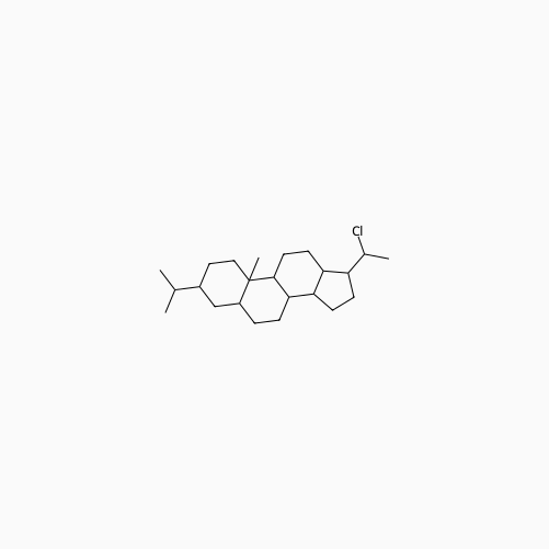 CC(C)C1CCC2(C)C(CCC3C4CCC(C(C)Cl)C4CCC32)C1